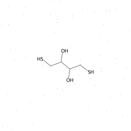 OC(CS)C(O)CS